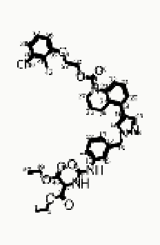 CCOC(=O)C(NC(=O)Nc1cccc(Cn2cc(-c3cccc4c3CCCN4C(=O)OCCOc3cccc(Cl)c3C)cn2)c1)C(=O)OCC